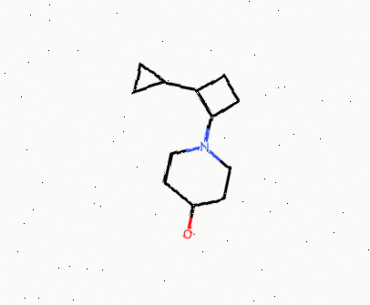 [O]C1CCN(C2CCC2C2CC2)CC1